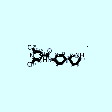 O=C(NC1=CCC([C@@H]2CCCNC2)C=C1)c1cc(Cl)nc(Cl)c1